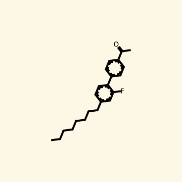 CCCCCCCCc1ccc(-c2ccc(C(C)=O)cc2)c(F)c1